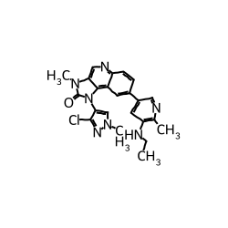 CCNc1cc(-c2ccc3ncc4c(c3c2)n(-c2cn(C)nc2Cl)c(=O)n4C)cnc1C